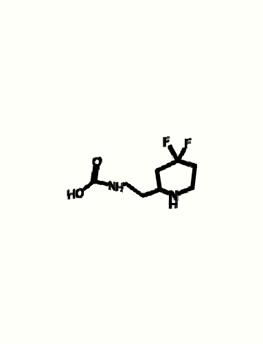 O=C(O)NCCC1CC(F)(F)CCN1